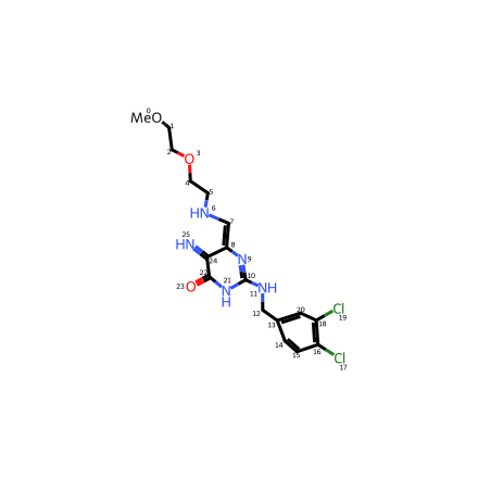 COCCOCCN/C=C1/N=C(NCc2ccc(Cl)c(Cl)c2)NC(=O)C1=N